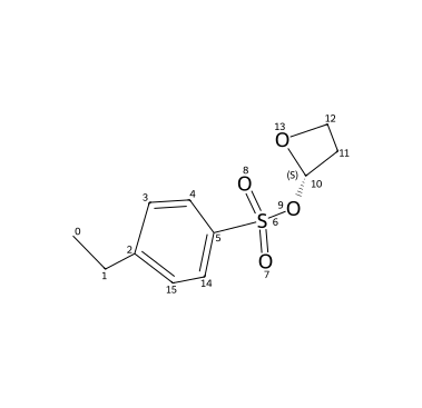 CCc1ccc(S(=O)(=O)O[C@H]2CCO2)cc1